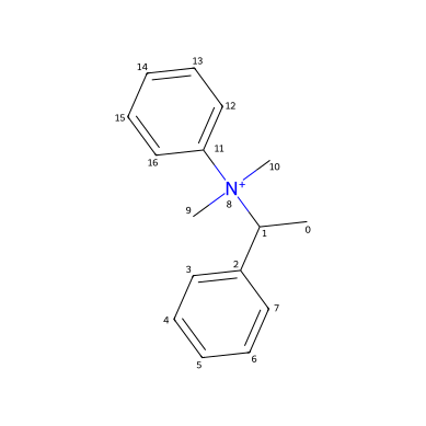 CC(c1ccccc1)[N+](C)(C)c1ccccc1